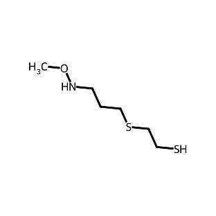 CONCCCSCCS